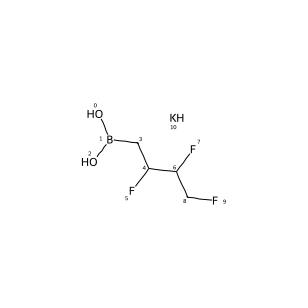 OB(O)CC(F)C(F)CF.[KH]